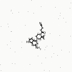 N#CCCC(=O)N1CCN(c2nc(N)nc3[nH]ccc23)CC12CC2